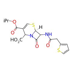 CC(C)OC(=O)C1=CS[C@H]2C(NC(=O)Cc3cccs3)C(=O)N2C1C(=O)O